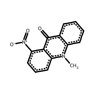 Cn1c2ccccc2c(=O)c2c([N+](=O)[O-])cccc21